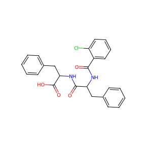 O=C(NC(Cc1ccccc1)C(=O)NC(Cc1ccccc1)C(=O)O)c1ccccc1Cl